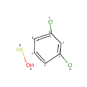 Clc1[c]ccc(Cl)c1.OS